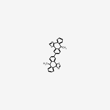 CC1c2ccccc2-c2ncsc2-c2cc(-c3ccc4c(c3)-c3scnc3-c3ccccc3C4C)ccc21